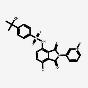 CC(C)(C#N)c1ccc(S(=O)(=O)Nc2ccc(Cl)c3c2C(=O)N(c2ccc[n+]([O-])c2)C3=O)cc1